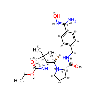 CCOC(=O)N[C@@H](C(=S)N1CCC[C@H]1C(=O)NCc1ccc(C(N)=NO)cc1)C(C)(C)C